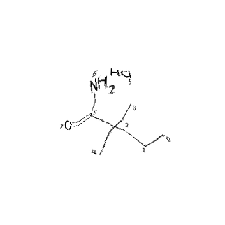 CCC(C)(C)C(N)=O.Cl